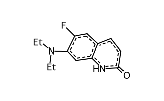 CCN(CC)c1cc2[nH]c(=O)ccc2cc1F